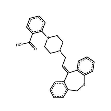 O=C(O)c1cccnc1N1CCN(CC=C2c3ccccc3CSc3ccccc32)CC1